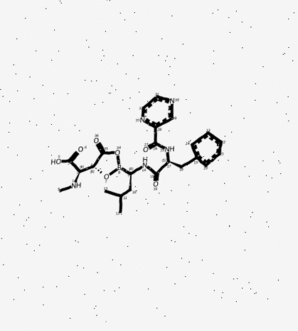 CN[C@@H](C(=O)O)[C@H]1OB([C@H](CC(C)C)NC(=O)[C@H](Cc2ccccc2)NC(=O)c2cnccn2)OC1=O